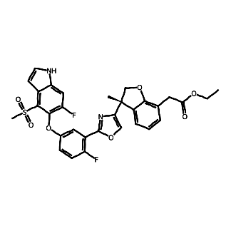 CCOC(=O)Cc1cccc2c1OC[C@@]2(C)c1coc(-c2cc(Oc3c(F)cc4[nH]ccc4c3S(C)(=O)=O)ccc2F)n1